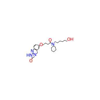 O=C1CN2Cc3cc(OCCCC(=O)N(CCCCCCO)C4CCCCC4)ccc3N=C2N1